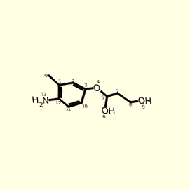 Cc1cc(OC(O)CCO)ccc1N